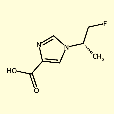 C[C@@H](CF)n1cnc(C(=O)O)c1